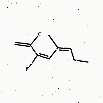 C=C(Cl)/C(F)=C\C(C)=C/CC